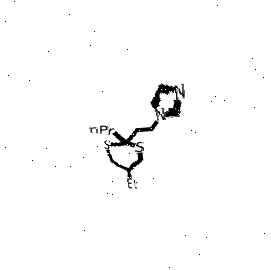 CCCC1(CCn2ccnc2)SCC(CC)CS1